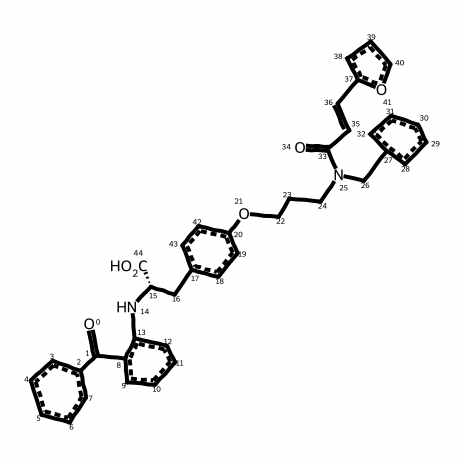 O=C(c1ccccc1)c1ccccc1N[C@@H](Cc1ccc(OCCCN(Cc2ccccc2)C(=O)/C=C/c2ccco2)cc1)C(=O)O